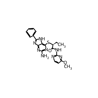 CC[C@H](Sc1nc(N)nc2nc(-c3ccccc3)[nH]c12)C(=O)Nc1nccc(OC)n1